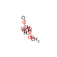 COC(=O)CC1CC[C@@H]2O[C@H]3C(=O)C(CCOCc4ccccc4)O[C@H]3C(=O)[C@H]2O1